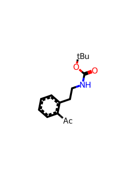 CC(=O)c1ccccc1CCNC(=O)OC(C)(C)C